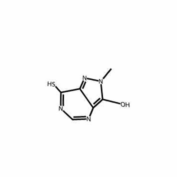 Cn1nc2c(S)ncnc2c1O